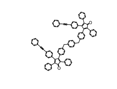 O=C1C(c2ccccc2)=C(c2ccc(C#Cc3ccccc3)cc2)C(c2ccc(Cc3ccc(Cc4ccc(C5=C(c6ccccc6)C(=O)C(c6ccccc6)=C5c5ccc(C#Cc6ccccc6)cc5)cc4)cc3)cc2)=C1c1ccccc1